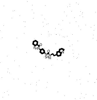 O=C(Nc1ccc(N(S)C(=O)NCCc2ccc3ncccc3c2)cc1)c1ccccc1F